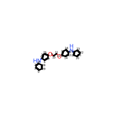 c1ccc(Nc2ccc(OCCOc3ccc(Nc4ccccc4)cc3)cc2)cc1